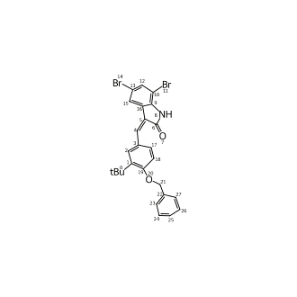 CC(C)(C)c1cc(C=C2C(=O)Nc3c(Br)cc(Br)cc32)ccc1OCc1ccccc1